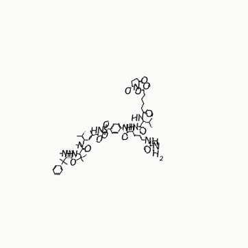 CN[C@H](C(=O)NC(C(=O)N(C)C(/C=C(\C)C(=O)NS(=O)(=O)c1ccc(NC(=O)[C@H](CCCNC(N)=O)NC(=O)[C@@H](NC(=O)CCCCC(=O)ON2C(=O)CCC2=O)C(C)C)cc1)C(C)C)C(C)(C)C)C(C)(C)c1ccccc1